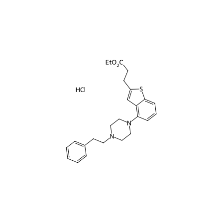 CCOC(=O)CCc1cc2c(N3CCN(CCc4ccccc4)CC3)cccc2s1.Cl